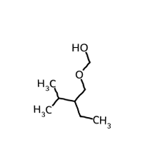 CCC(COCO)C(C)C